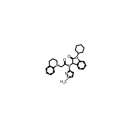 Cn1ccc(N(C(=O)CN2CCCc3ccccc32)C2C(=O)N(C3CCCCC3)c3ccccc32)n1